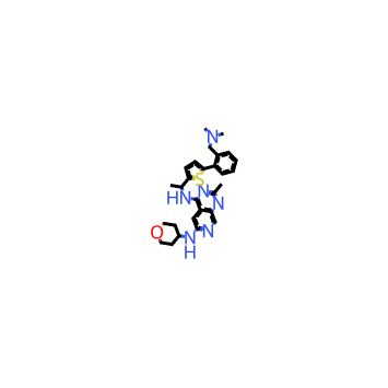 Cc1nc(NC(C)c2ccc(-c3ccccc3CN(C)C)s2)c2cc(NC3CCOCC3)ncc2n1